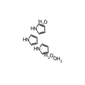 O.O.O.c1cc[nH]c1.c1cc[nH]c1.c1cc[nH]c1